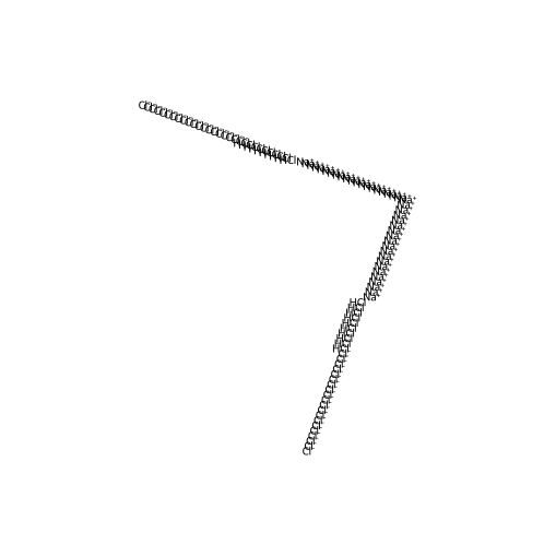 Cl.Cl.Cl.Cl.Cl.Cl.Cl.Cl.Cl.Cl.Cl.Cl.Cl.Cl.Cl.Cl.Cl.Cl.Cl.Cl.[Cl-].[Cl-].[Cl-].[Cl-].[Cl-].[Cl-].[Cl-].[Cl-].[Cl-].[Cl-].[Cl-].[Cl-].[Cl-].[Cl-].[Cl-].[Cl-].[Cl-].[Cl-].[Cl-].[Cl-].[Cl-].[Cl-].[Cl-].[Cl-].[Cl-].[Cl-].[Cl-].[Cl-].[Cl-].[Cl-].[Cl-].[Cl-].[Cl-].[Cl-].[Cl-].[Cl-].[Cl-].[Cl-].[Cl-].[Cl-].[Na+].[Na+].[Na+].[Na+].[Na+].[Na+].[Na+].[Na+].[Na+].[Na+].[Na+].[Na+].[Na+].[Na+].[Na+].[Na+].[Na+].[Na+].[Na+].[Na+].[Na+].[Na+].[Na+].[Na+].[Na+].[Na+].[Na+].[Na+].[Na+].[Na+].[Na+].[Na+].[Na+].[Na+].[Na+].[Na+].[Na+].[Na+].[Na+].[Na+]